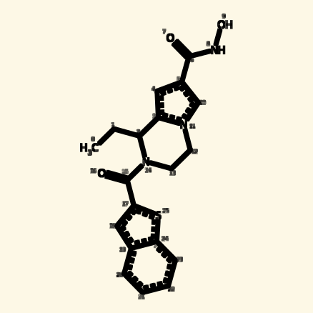 CCC1c2cc(C(=O)NO)cn2CCN1C(=O)c1cc2ccccc2s1